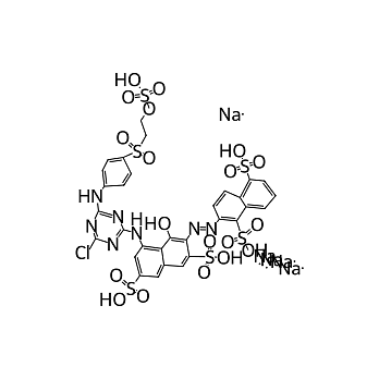 O=S(=O)(O)OCCS(=O)(=O)c1ccc(Nc2nc(Cl)nc(Nc3cc(S(=O)(=O)O)cc4cc(S(=O)(=O)O)c(N=Nc5ccc6c(S(=O)(=O)O)cccc6c5S(=O)(=O)O)c(O)c34)n2)cc1.[Na].[Na].[Na].[Na].[Na]